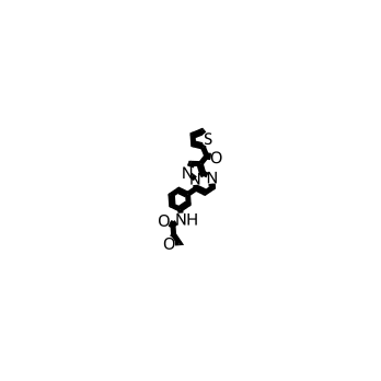 O=C(c1cccs1)c1cnn2c(-c3cccc(NC(=O)C4CO4)c3)ccnc12